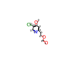 COc1cc(CCOC=O)ncc1Cl